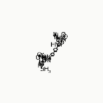 COC(=O)N[C@H](C(=O)N1C[C@H](n2ccnn2)C[C@H]1c1ncc(-c2ccc(-c3ccc(-c4cnc([C@@H]5C[C@@H](n6cc([SiH3])nn6)CN5C(=O)[C@@H](NC(=O)OC)C(C)C)[nH]4)cc3)cc2)[nH]1)C(C)C